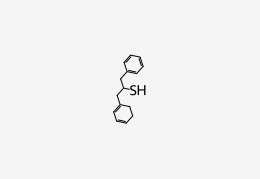 SC(CC1=CC=CCC1)Cc1ccccc1